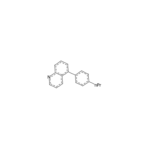 CCCc1ccc(-c2cccc3ncccc23)cc1